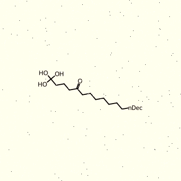 CCCCCCCCCCCCCCCCCC(=O)CCCC(O)(O)O